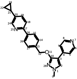 Cn1cc(-c2ccncc2)c(OCc2ccc(-c3ccc(C4CC4)cn3)cc2)n1